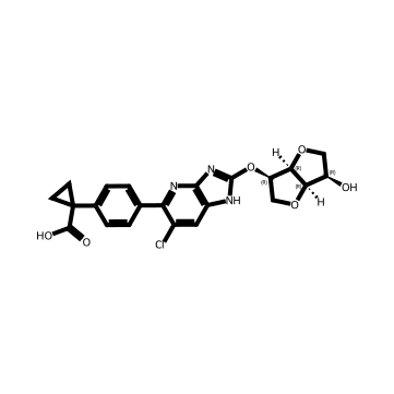 O=C(O)C1(c2ccc(-c3nc4nc(O[C@@H]5CO[C@H]6[C@@H]5OC[C@H]6O)[nH]c4cc3Cl)cc2)CC1